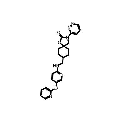 O=C1OC2(CCC(CNc3ccc(Oc4ccccn4)cn3)CC2)CN1c1cccnn1